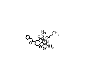 CCCCOc1nc(N)c([N+](=O)[O-])c(N2CCCN(C(=O)CC3CCCC3)CC2C(=O)OCC)n1